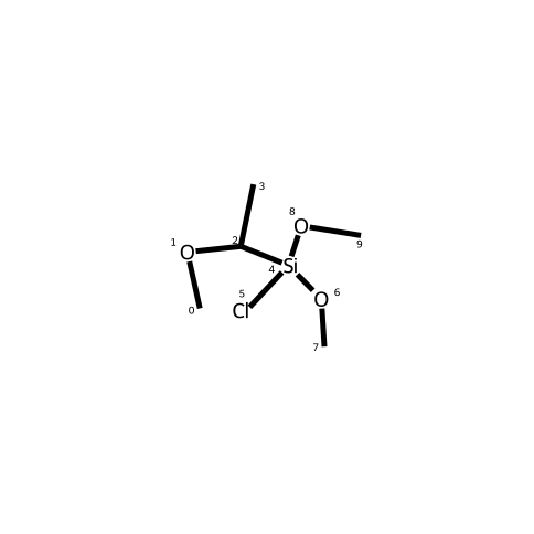 COC(C)[Si](Cl)(OC)OC